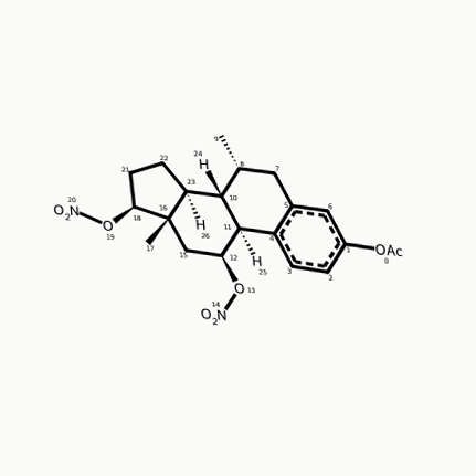 CC(=O)Oc1ccc2c(c1)C[C@@H](C)[C@@H]1[C@@H]2[C@@H](O[N+](=O)[O-])C[C@]2(C)[C@@H](O[N+](=O)[O-])CC[C@@H]12